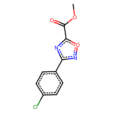 COC(=O)c1nc(-c2ccc(Cl)cc2)no1